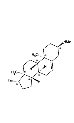 CC[C@H]1CC[C@H]2[C@@H]3CC=C4C[C@H](NC)CC[C@]4(C)[C@H]3CC[C@]12C